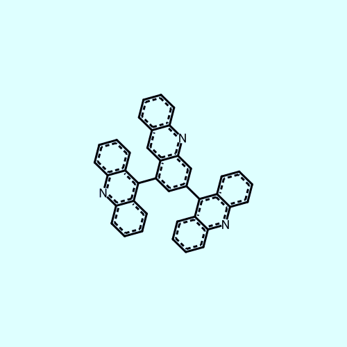 c1ccc2nc3cc(-c4c5ccccc5nc5ccccc45)cc(-c4c5ccccc5nc5ccccc45)c3cc2c1